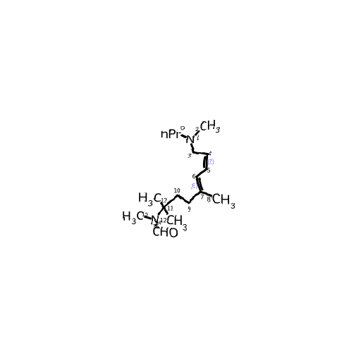 CCCN(C)C/C=C\C=C(/C)CCC(C)(C)N(C)C=O